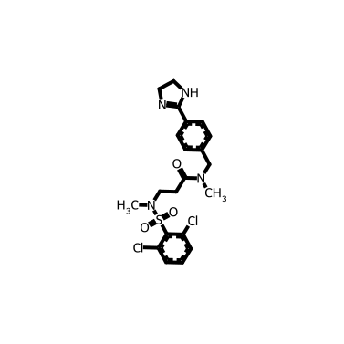 CN(Cc1ccc(C2=NCCN2)cc1)C(=O)CCN(C)S(=O)(=O)c1c(Cl)cccc1Cl